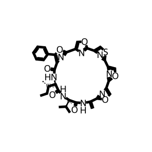 C=C1NC(=O)[C@@H](C(C)C)NC(=O)[C@@H]([C@@H](C)CC)NC(=O)c2nc(oc2-c2ccccc2)-c2coc(n2)-c2csc(n2)-c2coc(n2)-c2coc1n2